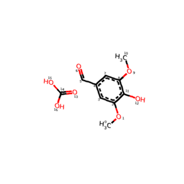 COc1cc(C=O)cc(OC)c1O.O=C(O)O